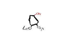 CC(=O)Oc1ccc(O)cc1C(=O)O